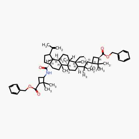 C=C(C)C1CC[C@]2(C(=O)NC3CC(C(=O)OCc4ccccc4)C3(C)C)CC[C@]3(C)[C@H](CC[C@@H]4[C@]5(C)CC[C@H]([C@@]6(C(=O)O)C[C@@H](C(=O)OCc7ccccc7)C6(C)C)C(C)(C)[C@H]5CC[C@]43C)[C@@H]12